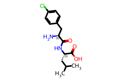 CC(C)C[C@H](NC(=O)[C@@H](N)Cc1ccc(Cl)cc1)C(=O)O